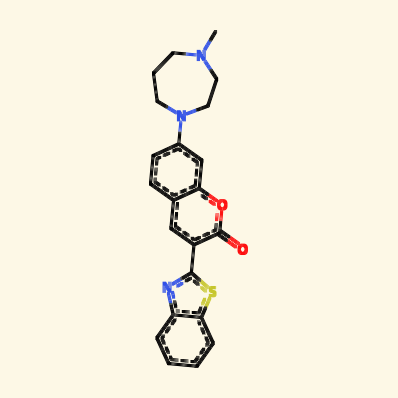 CN1CCCN(c2ccc3cc(-c4nc5ccccc5s4)c(=O)oc3c2)CC1